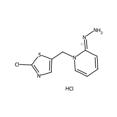 Cl.N/N=c1\ccccn1Cc1cnc(Cl)s1